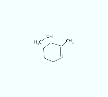 CC1=CCCCC1.CO